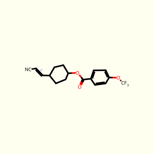 N#C/C=C/C1CCC(OC(=O)c2ccc(OC(F)(F)F)cc2)CC1